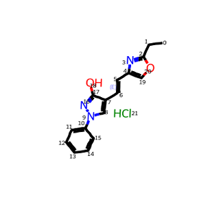 CCc1nc(/C=C/c2cn(-c3ccccc3)nc2O)co1.Cl